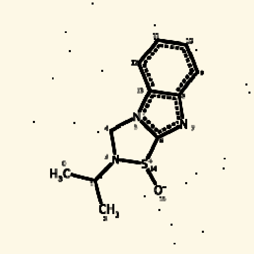 CC(C)N1Cn2c(nc3ccccc32)[S+]1[O-]